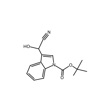 CC(C)(C)OC(=O)n1cc(C(O)C#N)c2ccccc21